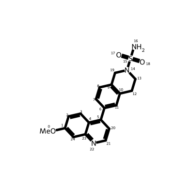 COc1ccc2c(-c3ccc4c(c3)CCN(S(N)(=O)=O)C4)ccnc2c1